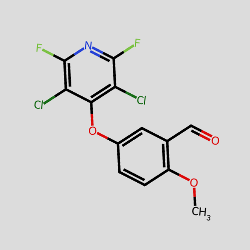 COc1ccc(Oc2c(Cl)c(F)nc(F)c2Cl)cc1C=O